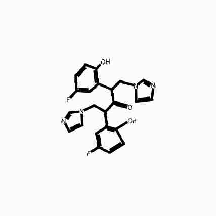 O=C(C(Cn1ccnc1)c1cc(F)ccc1O)C(Cn1ccnc1)c1cc(F)ccc1O